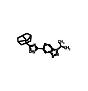 CC(C)n1nnc2cc(-c3noc(C45CC6CC(CC(C6)C4)C5)n3)ccc21